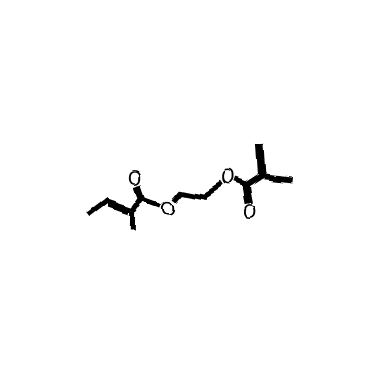 C=C(C)C(=O)OCCOC(=O)/C(C)=C/C